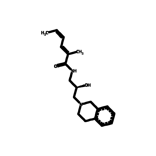 C/C=C\C=C(/C)C(=O)NC[C@@H](O)CN1CCc2ccccc2C1